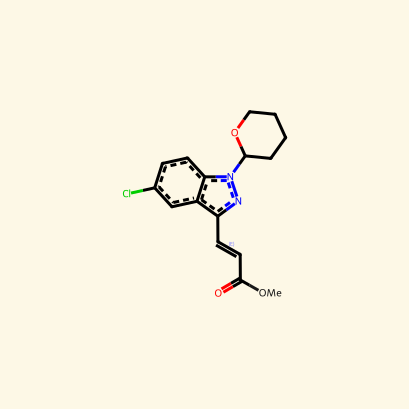 COC(=O)/C=C/c1nn(C2CCCCO2)c2ccc(Cl)cc12